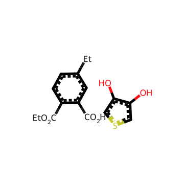 CCOC(=O)c1ccc(CC)cc1C(=O)O.Oc1cscc1O